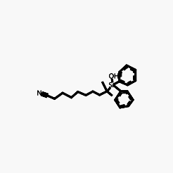 CC(C)(CCCCCCCC#N)[Si](O)(c1ccccc1)c1ccccc1